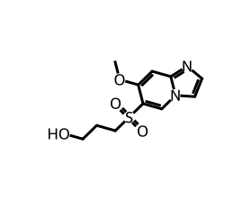 COc1cc2nccn2cc1S(=O)(=O)CCCO